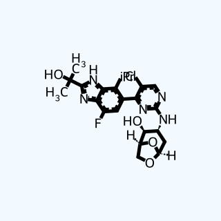 CC(C)c1c(-c2nc(N[C@@H]3C[C@H]4OC[C@H](O4)[C@H]3O)ncc2Cl)cc(F)c2nc(C(C)(C)O)[nH]c12